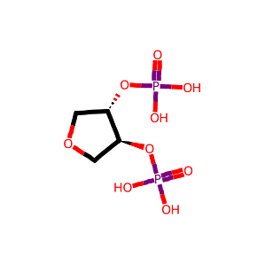 O=P(O)(O)O[C@H]1COC[C@@H]1OP(=O)(O)O